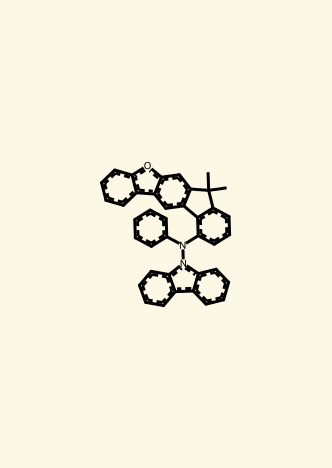 CC1(C)c2cc3oc4ccccc4c3cc2-c2c(N(c3ccccc3)n3c4ccccc4c4ccccc43)cccc21